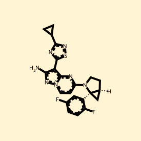 Nc1nn2ccc(N3CC[C@H]4C[C@]43c3cc(F)ccc3F)nc2c1-c1nc(C2CC2)ns1